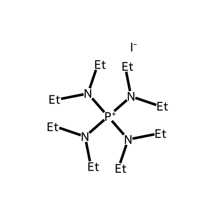 CCN(CC)[P+](N(CC)CC)(N(CC)CC)N(CC)CC.[I-]